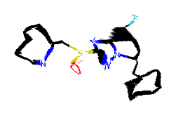 [O-][S+](Cc1ccccn1)c1nc2n(n1)[C@H](c1ccccc1)C[C@@H]2F